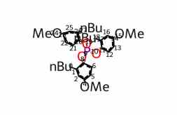 CCCCc1cc(OC)ccc1OP(Oc1ccc(OC)cc1CCCC)Oc1ccc(OC)cc1CCCC